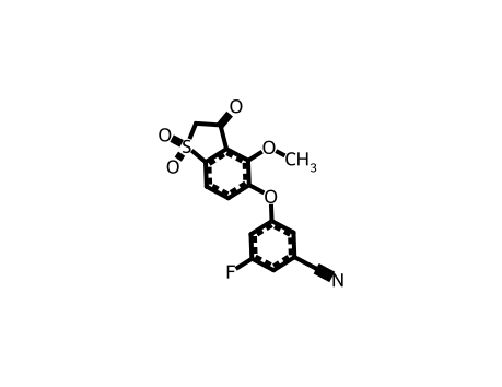 COc1c(Oc2cc(F)cc(C#N)c2)ccc2c1C(=O)CS2(=O)=O